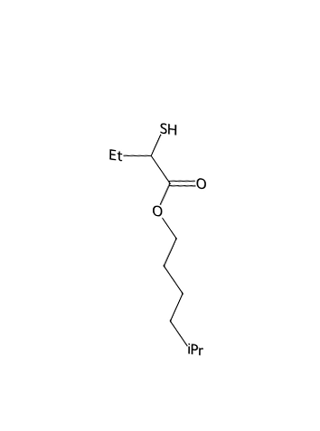 CCC(S)C(=O)OCCCCC(C)C